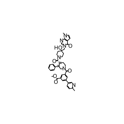 COC(=O)c1cc(C(=O)N2CC[C@@H](C(=O)N3CCC(O)(Cn4cnc5c(ccn5C)c4=O)CC3)[C@H](c3ccccc3)C2)cc(-c2ccc(C)nc2)c1